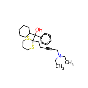 CCN(CC)CC#CCCC1(C(O)(c2ccccc2)C2CCCCC2)SCCCS1